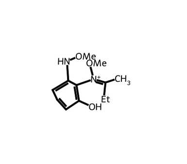 CC/C(C)=[N+](/OC)c1c(O)cccc1NOC